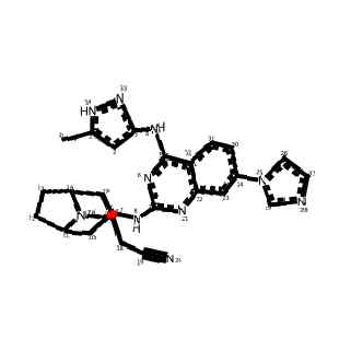 Cc1cc(Nc2nc(NC3CC4CCC(C3)N4CCC#N)nc3cc(-n4ccnc4)ccc23)n[nH]1